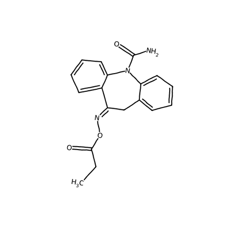 CCC(=O)ON=C1Cc2ccccc2N(C(N)=O)c2ccccc21